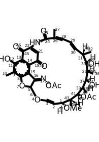 CO[C@H]1/C=C/O[C@@]2(C)Oc3c(C)c(O)c4c(c3/C2=N/OC(C)=O)C(=O)C=C(NC(=O)/C(C)=C\C=C\[C@H](C)[C@H](O)[C@@H](C)[C@@H](O)[C@@H](C)[C@H](OC(C)=O)[C@@H]1C)C4=O